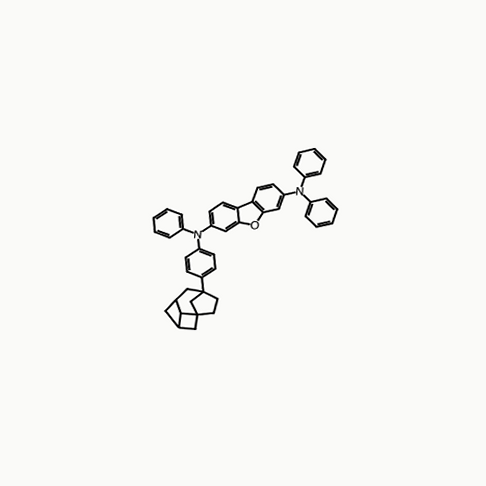 c1ccc(N(c2ccccc2)c2ccc3c(c2)oc2cc(N(c4ccccc4)c4ccc(C56CCC7(CC8CC(C5)C87)C6)cc4)ccc23)cc1